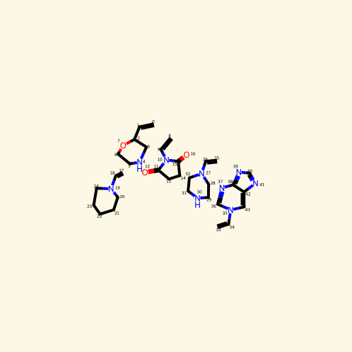 C=CC1CNCCO1.C=CN1C(=O)CCC1=O.C=CN1CCCCC1.C=CN1CCNCC1.C=Cn1cnc2ncnc-2c1